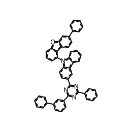 c1ccc(-c2cccc(-c3nc(-c4ccccc4)nc(-c4ccc5c(c4)c4ccccc4n5-c4cccc5oc6cc(-c7ccccc7)ccc6c45)n3)c2)cc1